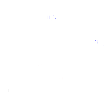 C=CCOC(=O)c1cc(N)cc(N)c1